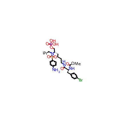 COC(=O)N[C@@H](Cc1ccc(Br)cc1)C(=O)NCCCC[C@@H](COP(=O)(O)O)N(CC(C)C)S(=O)(=O)c1ccc(N)cc1